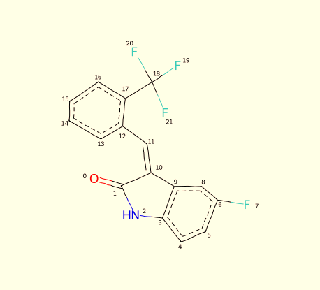 O=C1Nc2ccc(F)cc2/C1=C/c1ccccc1C(F)(F)F